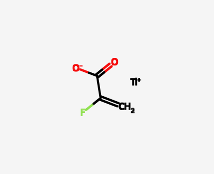 C=C(F)C(=O)[O-].[Tl+]